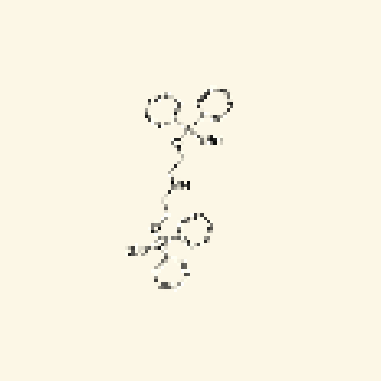 CC(C)(C)[Si](OCCNCCO[Si](c1ccccc1)(c1ccccc1)C(C)(C)C)(c1ccccc1)c1ccccc1